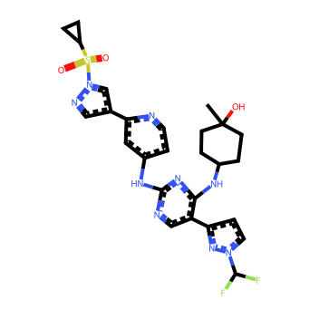 CC1(O)CCC(Nc2nc(Nc3ccnc(-c4cnn(S(=O)(=O)C5CC5)c4)c3)ncc2-c2ccn(C(F)F)n2)CC1